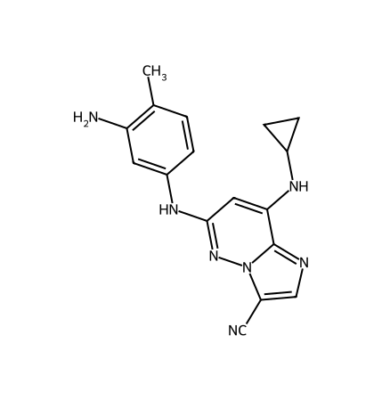 Cc1ccc(Nc2cc(NC3CC3)c3ncc(C#N)n3n2)cc1N